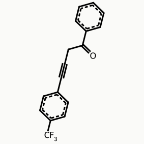 O=C(CC#Cc1ccc(C(F)(F)F)cc1)c1ccccc1